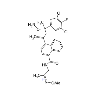 C=C(CC(ON)(c1cc(Cl)c(F)c(Cl)c1)C(F)(F)F)c1ccc(C(=O)NC/C(C)=N\OC)c2ccccc12